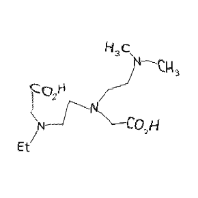 CCN(CCN(CCN(C)C)CC(=O)O)CC(=O)O